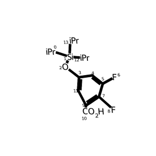 CC(C)[Si](Oc1cc(F)c(F)c(C(=O)O)c1)(C(C)C)C(C)C